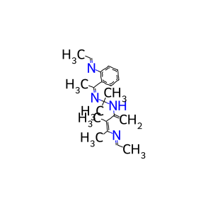 C=C(NC(C)(C)/N=C(/C)c1ccccc1/N=C/C)/C(C)=C(C)\N=C\C